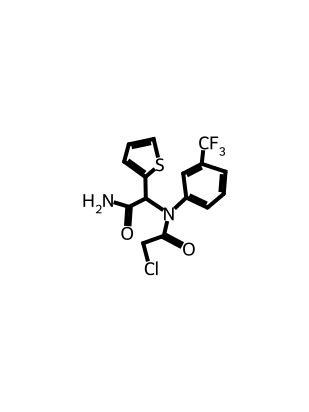 NC(=O)C(c1cccs1)N(C(=O)CCl)c1cccc(C(F)(F)F)c1